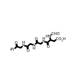 CC(C)C(=O)CNC(=O)CNC(=O)CNC(=O)C(CC(=O)O)NC=O